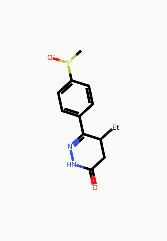 CCC1CC(=O)NN=C1c1ccc([S+](C)[O-])cc1